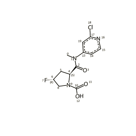 CN(C(=O)[C@@H]1C[C@@H](F)CN1C(=O)O)c1ccnc(Cl)c1